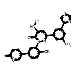 CCNc1cc(-c2cc(C)cc(-c3cnco3)c2)nn(-c2cc(-c3ccc(=O)oc3)ccc2C(F)(F)F)c1=O